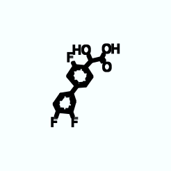 O=C(O)C(O)c1ccc(-c2ccc(F)c(F)c2)cc1F